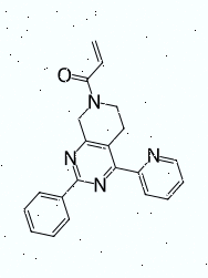 C=CC(=O)N1CCc2c(nc(-c3ccccc3)nc2-c2ccccn2)C1